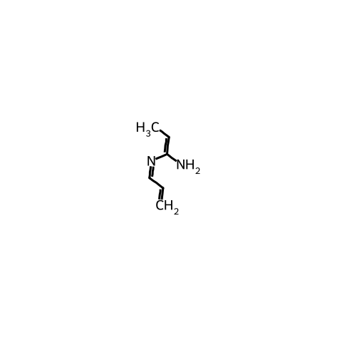 C=C/C=N\C(N)=C/C